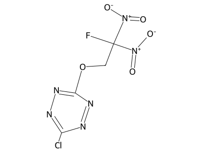 O=[N+]([O-])C(F)(COc1nnc(Cl)nn1)[N+](=O)[O-]